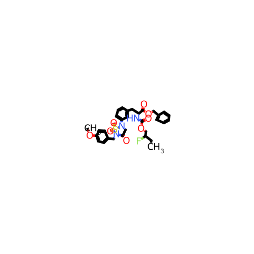 CCC(F)COC(=O)NC(Cc1cccc(N2CC(=O)N(Cc3ccc(OC)cc3)S2(=O)=O)c1)C(=O)OCc1ccccc1